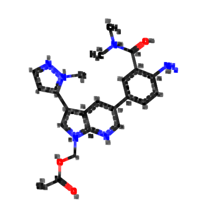 CCn1nccc1-c1cn(COC(=O)C(C)(C)C)c2ncc(-c3ccc(N)c(C(=O)N(C)C)c3)cc12